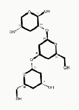 O=N[C@@H]1CO[C@@H](O)[C@H](O[C@@H]2C[C@H](O[C@@H]3C[C@H](O)C[C@H](CO)O3)C[C@H](CO)O2)C1